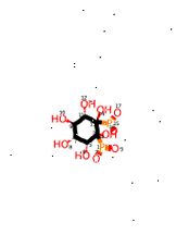 O=P(=O)[C@]1(O)[C@H](O)[C@H](O)[C@@H](O)[C@H](O)[C@]1(O)P(=O)=O